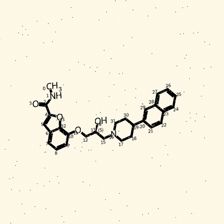 CNC(=O)c1cc2cccc(OC[C@@H](O)CN3CCC(c4ccc5ccccc5c4)CC3)c2o1